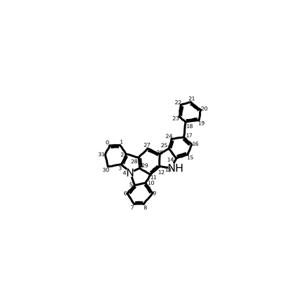 C1=Cc2c(n3c4ccccc4c4c5[nH]c6ccc(-c7ccccc7)cc6c5cc2c43)CC1